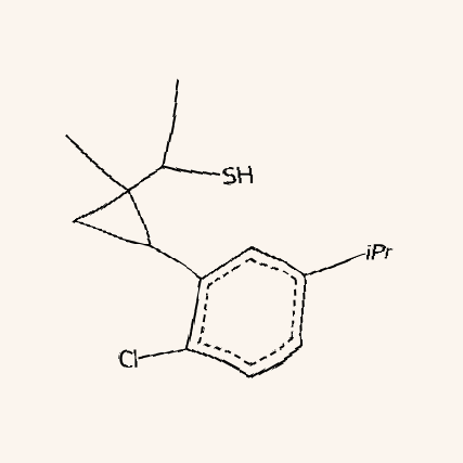 CC(C)c1ccc(Cl)c(C2CC2(C)C(C)S)c1